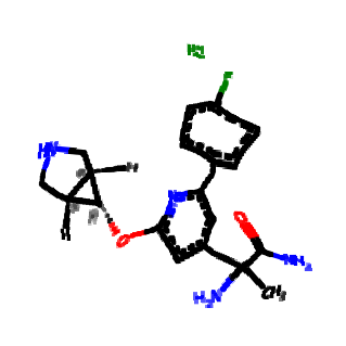 CC(N)(C(N)=O)c1cc(O[C@@H]2[C@@H]3CNC[C@@H]32)nc(-c2ccc(F)cc2)c1.Cl